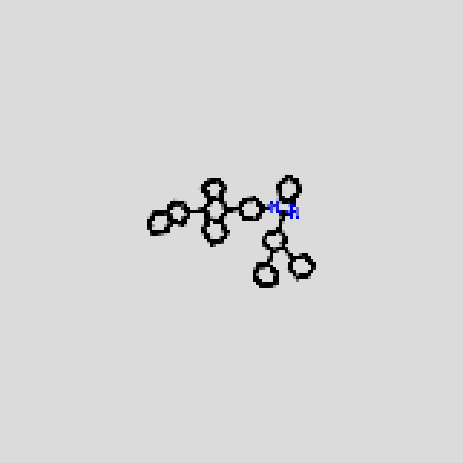 C1=CCC(C2=CC(c3nc4ccccc4n3-c3ccc(-c4c5ccccc5c(-c5ccc6ccccc6c5)c5ccccc45)cc3)=CCC2c2ccccc2)C=C1